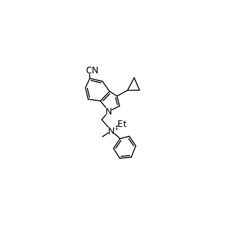 CC[N+](C)(Cn1cc(C2CC2)c2cc(C#N)ccc21)c1ccccc1